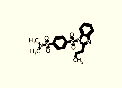 CCCc1nc2ccccc2n1S(=O)(=O)c1ccc(S(=O)(=O)N(C)C)cc1